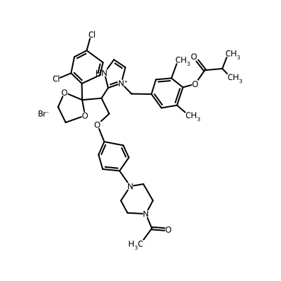 CC(=O)N1CCN(c2ccc(OCC(c3[nH]cc[n+]3Cc3cc(C)c(OC(=O)C(C)C)c(C)c3)C3(c4ccc(Cl)cc4Cl)OCCO3)cc2)CC1.[Br-]